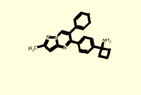 Cc1cc2nc(-c3ccc(C4(N)CCC4)cc3)c(C3=CCCC=C3)cn2n1